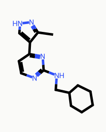 Cc1n[nH]cc1-c1ccnc(NCC2CCCCC2)n1